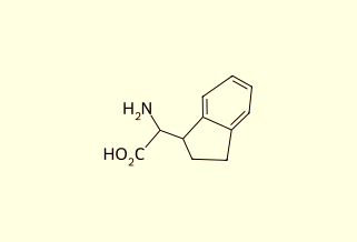 NC(C(=O)O)C1CCc2ccccc21